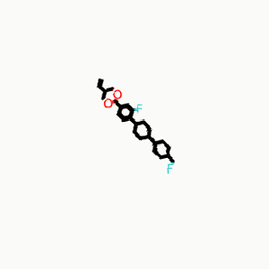 C=CC1COC(c2ccc(C3CCC(C4CCC(CF)CC4)CC3)c(F)c2)OC1